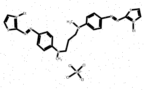 CC[n+]1ccsc1/N=N/c1ccc(N(C)CCCN(C)c2ccc(/N=N/c3scc[n+]3CC)cc2)cc1.[Cl][Zn-2]([Cl])([Cl])[Cl]